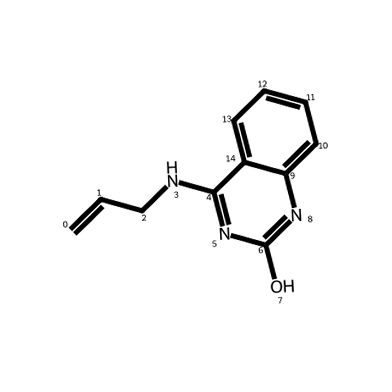 C=CCNc1nc(O)nc2ccccc12